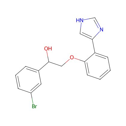 OC(COc1ccccc1-c1c[nH]cn1)c1cccc(Br)c1